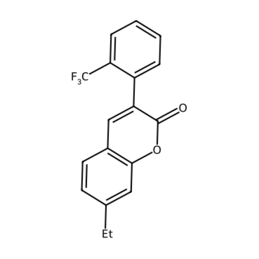 CCc1ccc2cc(-c3ccccc3C(F)(F)F)c(=O)oc2c1